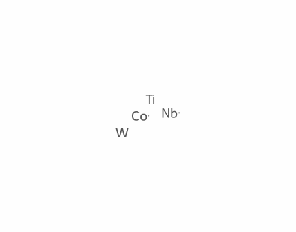 [Co].[Nb].[Ti].[W]